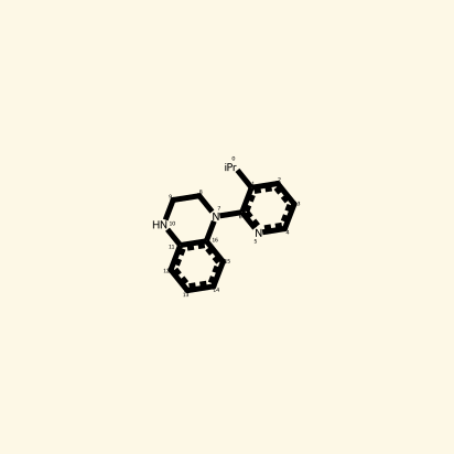 CC(C)c1cccnc1N1CCNc2ccccc21